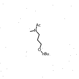 CCCCOCCCN(C)C(C)=O